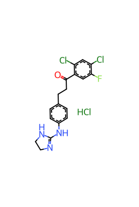 Cl.O=C(CCc1ccc(NC2=NCCN2)cc1)c1cc(F)c(Cl)cc1Cl